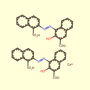 O=C([O-])c1cc2ccccc2c(N=Nc2ccc3ccccc3c2S(=O)(=O)O)c1O.O=C([O-])c1cc2ccccc2c(N=Nc2ccc3ccccc3c2S(=O)(=O)O)c1O.[Ca+2]